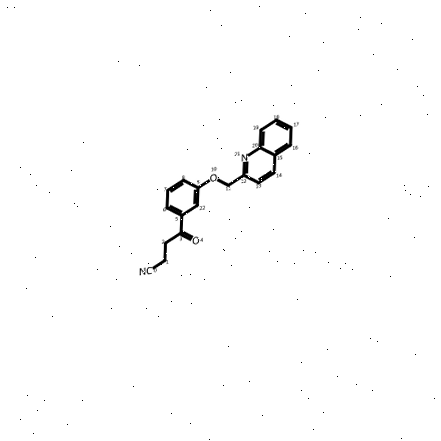 N#CCCC(=O)c1cccc(OCc2ccc3ccccc3n2)c1